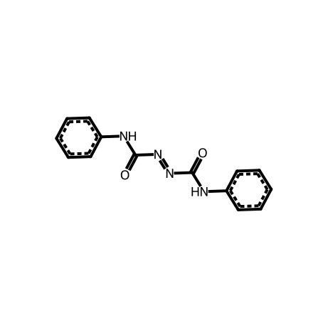 O=C(N=NC(=O)Nc1ccccc1)Nc1ccccc1